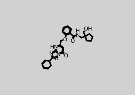 O=C(NCC1(CO)CCCC1)c1ccccc1OCc1cc(=O)n2nc(C3C=CC=CC3)nc2[nH]1